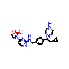 O=C1OCCN1c1ccnc(NCc2ccc(C(CC3CC3)N3CCNCC3)cc2)n1